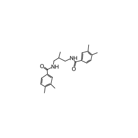 Cc1ccc(C(=O)NCC(C)CNC(=O)c2ccc(C)c(C)c2)cc1C